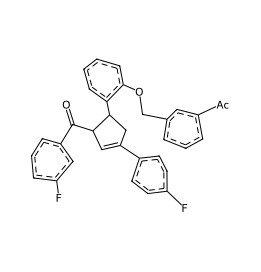 CC(=O)c1cccc(COc2ccccc2C2CC(c3ccc(F)cc3)=CC2C(=O)c2cccc(F)c2)c1